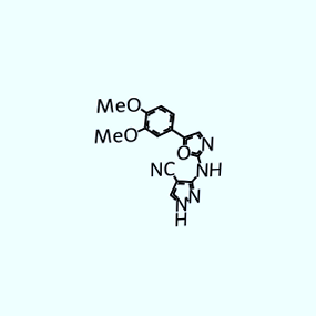 COc1ccc(-c2cnc(Nc3n[nH]cc3C#N)o2)cc1OC